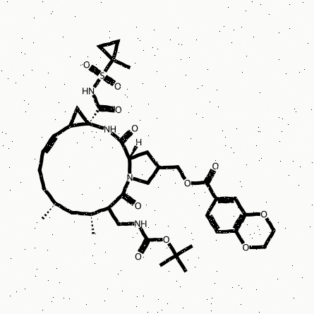 C[C@@H]1CC/C=C\C2C[C@@]2(C(=O)NS(=O)(=O)C2(C)CC2)NC(=O)[C@@H]2CC(COC(=O)c3ccc4c(c3)OCCO4)CN2C(=O)C(CNC(=O)OC(C)(C)C)[C@H](C)C1